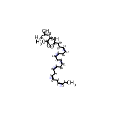 CC/C=C\C/C=C\C/C=C\C/C=C\C/C=C\C/C=C\CCC(=O)N[C@@H](CC(C)C)C(C)=O